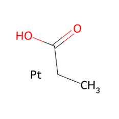 CCC(=O)O.[Pt]